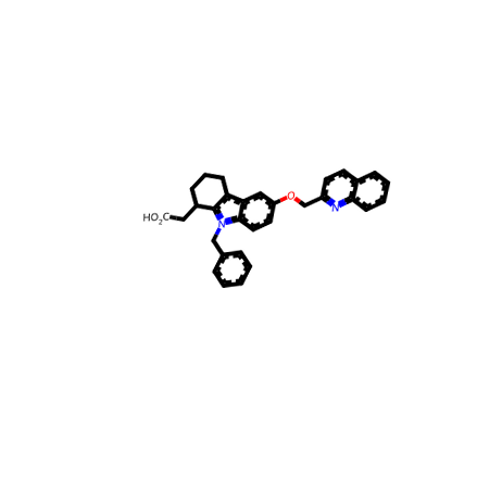 O=C(O)CC1CCCc2c1n(Cc1ccccc1)c1ccc(OCc3ccc4ccccc4n3)cc21